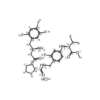 COC(=O)[C@@H](Nc1ccc(CNC(=O)[C@@H]2SCCN2C(=O)C[C@H](N)Cc2cc(F)c(F)cc2F)c(F)c1)C(C)C.Cl